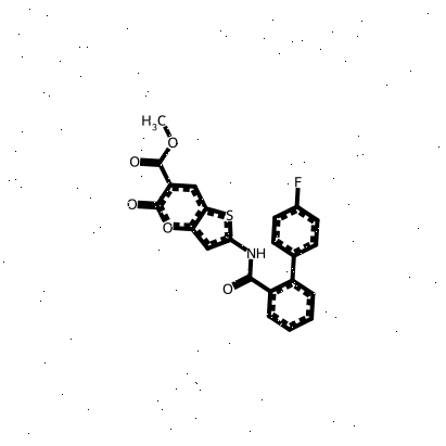 COC(=O)c1cc2sc(NC(=O)c3ccccc3-c3ccc(F)cc3)cc2oc1=O